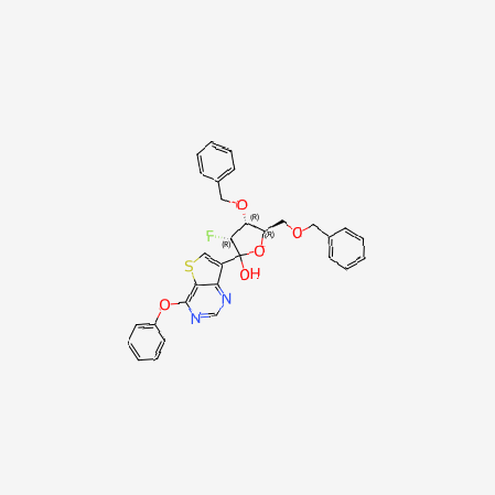 OC1(c2csc3c(Oc4ccccc4)ncnc23)O[C@H](COCc2ccccc2)[C@@H](OCc2ccccc2)[C@H]1F